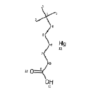 CC(C)(C)CCCCCC(=O)O.[Hg]